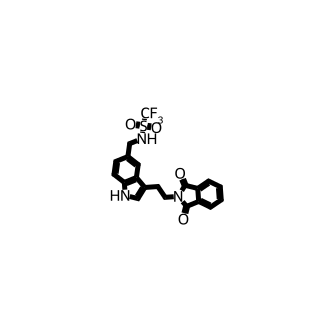 O=C1c2ccccc2C(=O)N1CCc1c[nH]c2ccc(CNS(=O)(=O)C(F)(F)F)cc12